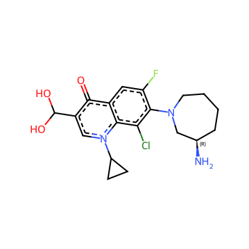 N[C@@H]1CCCCN(c2c(F)cc3c(=O)c(C(O)O)cn(C4CC4)c3c2Cl)C1